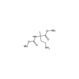 CC(C)(C)OC(=O)NC(C)(CCN)C(=O)OC(C)(C)C